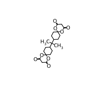 CC(C)(C1CCC2(CC1)OC(=O)CC(=O)O2)C1CCC2(CC1)OC(=O)CC(=O)O2